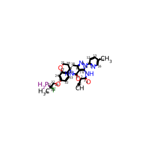 C#CCC(=O)Nc1c2c(nn1-c1ccc(C)cn1)C[C@]1(CCOc3cc(OCC(C)(F)P)ccc31)NC2=O